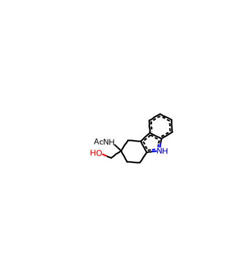 CC(=O)NC1(CO)CCc2[nH]c3ccccc3c2C1